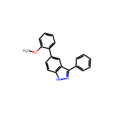 COc1ccccc1-c1ccc2[nH]nc(-c3ccccc3)c2c1